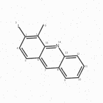 Cc1c(I)ccc2cc3ccccc3nc12